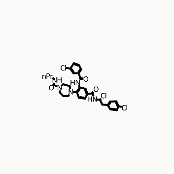 CCCNC(=O)N1CCCN(c2ccc(C(=O)NC(Cl)Cc3ccc(Cl)cc3)cc2NC(=O)c2cccc(Cl)c2)CC1